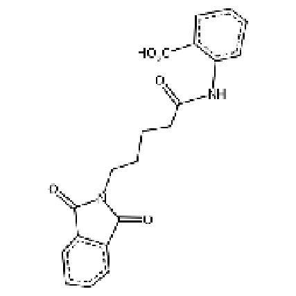 O=C(CCCCN1C(=O)c2ccccc2C1=O)Nc1ccccc1C(=O)O